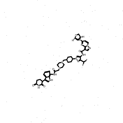 O=C1CCC(c2c[nH]c3c(NC(=O)CN4CCN(CC5CCC(n6cc(NC(=O)c7cnn8ccc(N9C[C@H]%10C[C@@H]9CO%10)nc78)c(C(F)F)n6)CC5)CC4)cccc23)C(=O)N1